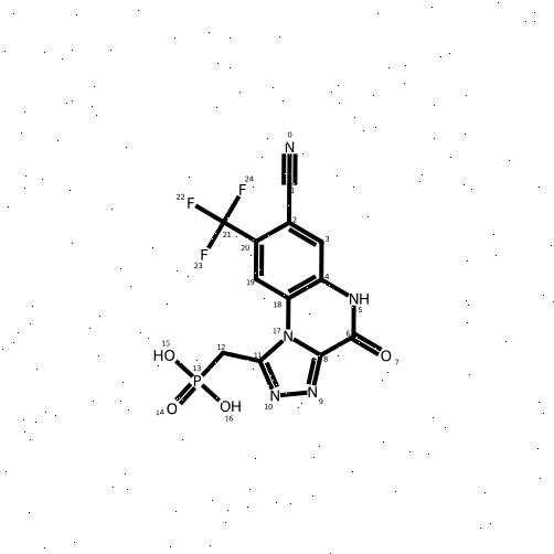 N#Cc1cc2[nH]c(=O)c3nnc(CP(=O)(O)O)n3c2cc1C(F)(F)F